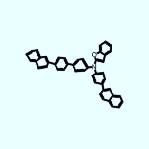 c1ccc2cc(-c3ccc(-c4ccc(N(c5ccc(-c6ccc7ccccc7c6)cc5)c5cc6ccccc6o5)cc4)cc3)ccc2c1